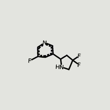 Fc1cncc(C2CC(F)(F)CN2)c1